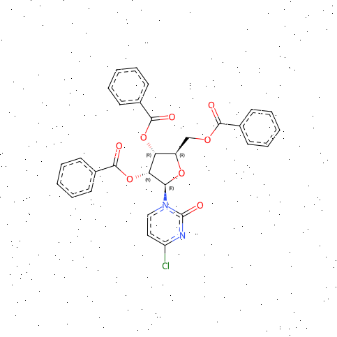 O=C(OC[C@H]1O[C@@H](n2ccc(Cl)nc2=O)[C@H](OC(=O)c2ccccc2)[C@@H]1OC(=O)c1ccccc1)c1ccccc1